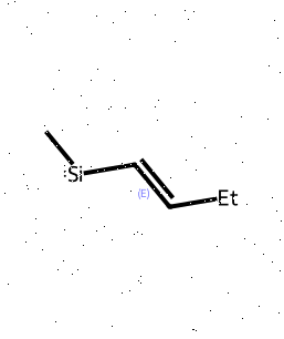 CC/C=C/[Si]C